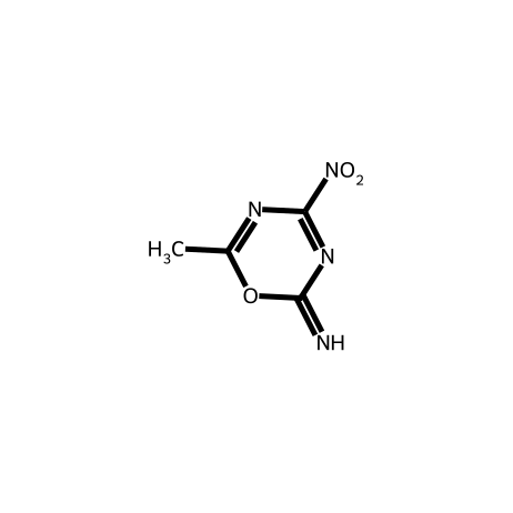 Cc1nc([N+](=O)[O-])nc(=N)o1